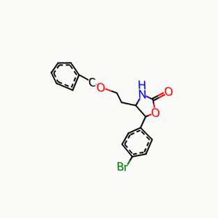 O=C1NC(CCOCc2ccccc2)C(c2ccc(Br)cc2)O1